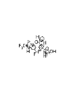 C[C@@H](NC(=O)c1nc(C(=O)N2[C@H]3CC[C@@H]2CC3)c(-c2cnc(N[C@@H](C3CC3)C(F)(F)F)cc2C(F)F)s1)C(C)(C)O